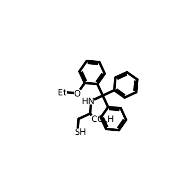 CCOc1ccccc1C(NC(CS)C(=O)O)(c1ccccc1)c1ccccc1